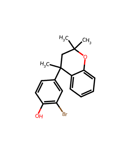 CC1(C)CC(C)(c2ccc(O)c(Br)c2)c2ccccc2O1